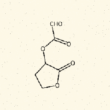 O=CC(=O)OC1CCOC1=O